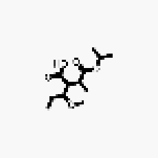 CCC(OC)C(C(=O)O)C(C)C(=O)OC(C)C